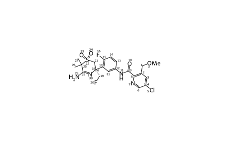 COCc1cc(Cl)cnc1C(=O)Nc1ccc(F)c([C@]2(CF)CS(=O)(=O)C(C)(C)C(N)=N2)c1